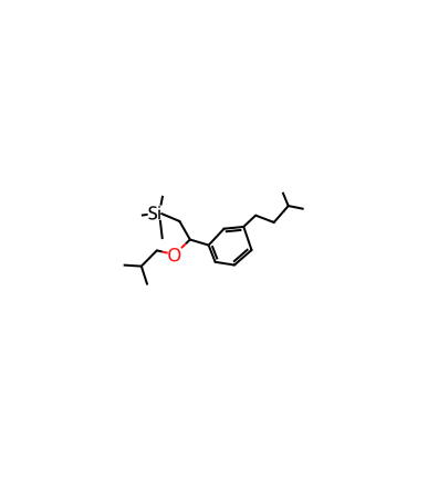 CC(C)CCc1cccc(C(C[Si](C)(C)C)OCC(C)C)c1